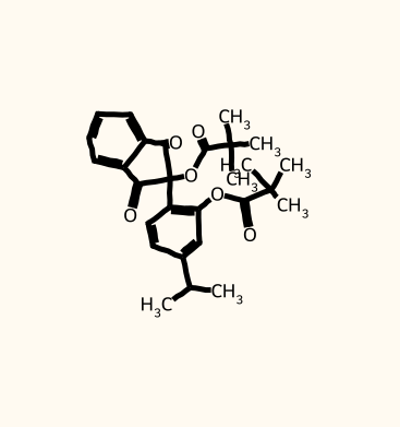 CC(C)c1ccc(C2(OC(=O)C(C)(C)C)C(=O)c3ccccc3C2=O)c(OC(=O)C(C)(C)C)c1